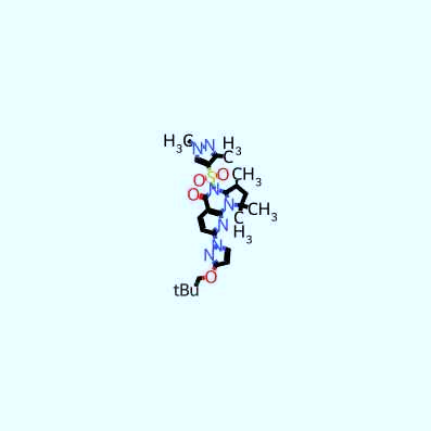 Cc1nn(C)cc1S(=O)(=O)N1C(=O)c2ccc(-n3ccc(OCC(C)(C)C)n3)nc2N2C1[C@@H](C)CC2(C)C